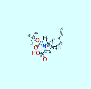 C=CC/C=C\[C@@]12C[C@@H](C(=O)O)N(C(=O)OC(C)(C)C)[C@@H]1C2